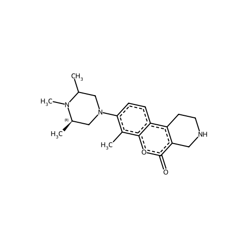 Cc1c(N2CC(C)N(C)[C@H](C)C2)ccc2c3c(c(=O)oc12)CNCC3